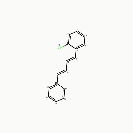 Clc1ccccc1C=CC=Cc1ccccc1